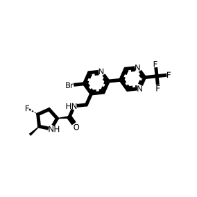 C[C@@H]1N[C@H](C(=O)NCc2cc(-c3cnc(C(F)(F)F)nc3)ncc2Br)C[C@H]1F